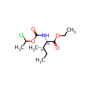 CCOC(=O)[C@@H](NC(=O)OC(C)Cl)[C@@H](C)CC